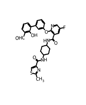 Cc1nc(C(=O)NC2CCC(NC(=O)c3cc(F)cnc3Oc3cccc(-c4cccc(C=O)c4O)c3)CC2)cs1